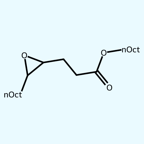 CCCCCCCCOC(=O)CCC1OC1CCCCCCCC